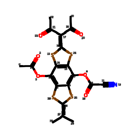 CC(=O)Oc1c2c(c(OC(=O)C#N)c3c1SC(=C(C(C)=O)C(C)=O)S3)SC(=C(C)C)S2